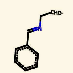 O=[C]CN=Cc1ccccc1